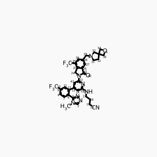 Cn1cnnc1-c1ccc(C(F)(F)F)cc1-c1cc(NCCCC#N)nc(N2Cc3c(cc(CN4CCC5(COC5)C4)cc3C(F)(F)F)C2=O)c1